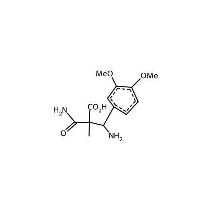 COc1ccc(C(N)C(C)(C(N)=O)C(=O)O)cc1OC